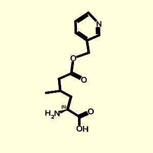 CC(CC(=O)OCc1cccnc1)C[C@H](N)C(=O)O